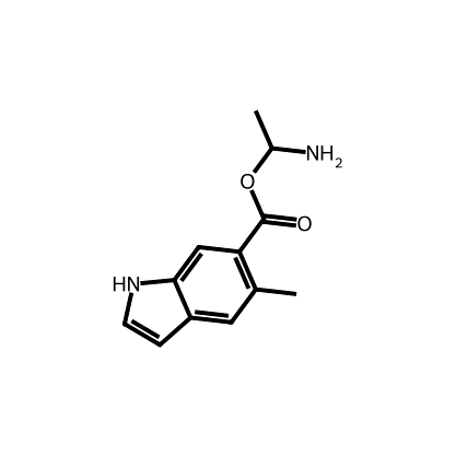 Cc1cc2cc[nH]c2cc1C(=O)OC(C)N